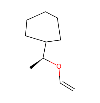 C=CO[C@@H](C)C1CCCCC1